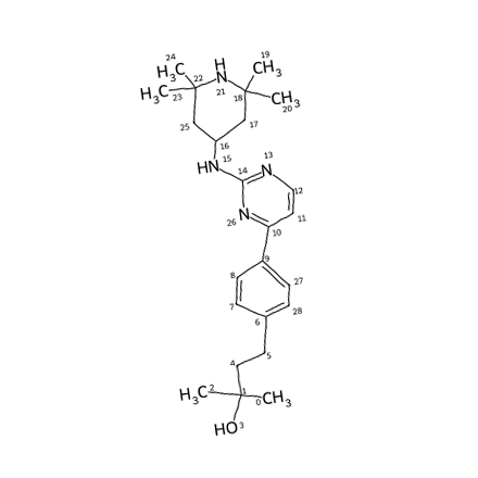 CC(C)(O)CCc1ccc(-c2ccnc(NC3CC(C)(C)NC(C)(C)C3)n2)cc1